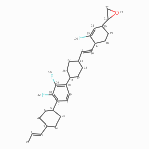 C/C=C/C1CCC(c2ccc(C3CCC(/C=C/C4CCC(C5CO5)C=C4F)CC3)c(F)c2F)CC1